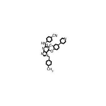 Cc1ccc(Cn2cnc3nc(Nc4ccc(C#N)cc4)nc(Oc4ccc(-c5ccncc5)cc4C)c32)cc1